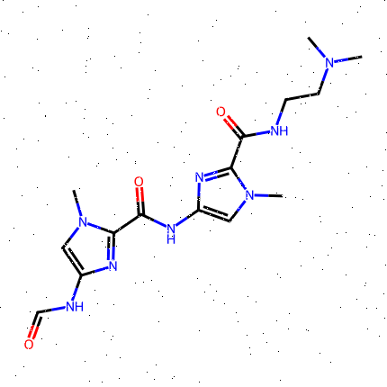 CN(C)CCNC(=O)c1nc(NC(=O)c2nc(NC=O)cn2C)cn1C